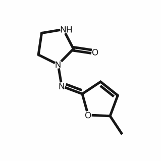 CC1C=CC(=NN2CCNC2=O)O1